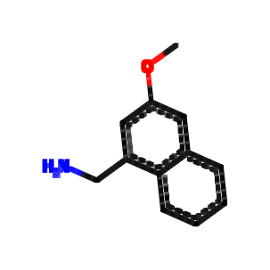 COc1cc(CN)c2ccccc2c1